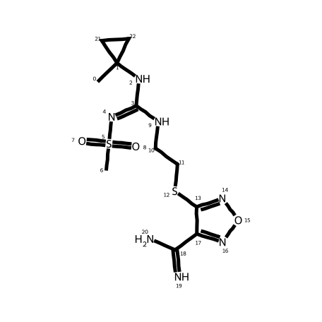 CC1(NC(=NS(C)(=O)=O)NCCSc2nonc2C(=N)N)CC1